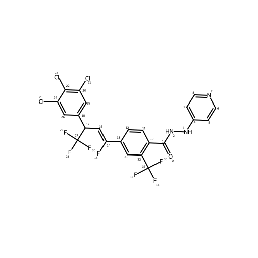 O=C(NNc1ccncc1)c1ccc(C(F)=CC(c2cc(Cl)c(Cl)c(Cl)c2)C(F)(F)F)cc1C(F)(F)F